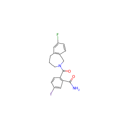 NC(=O)c1cc(I)ccc1C(=O)N1CCCc2cc(F)ccc2C1